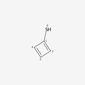 SC1=CC=C1